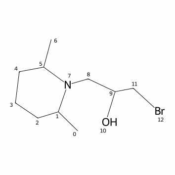 CC1CCCC(C)N1CC(O)CBr